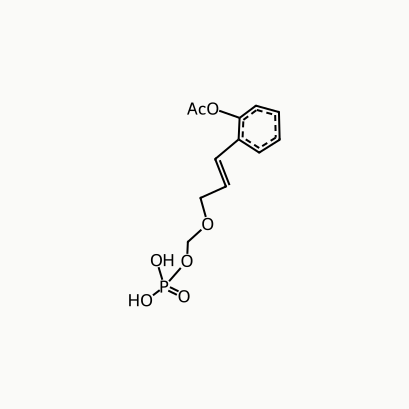 CC(=O)Oc1ccccc1/C=C/COCOP(=O)(O)O